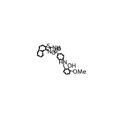 COc1cccc(CNc2ccc(S(=O)(=O)Nc3nc4c(ccc5ccccc54)s3)cc2)c1O